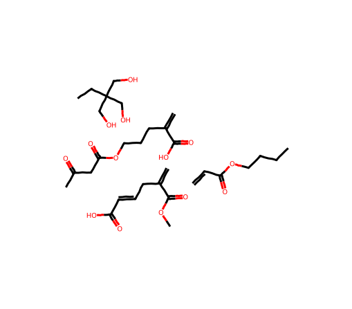 C=C(CC=CC(=O)O)C(=O)OC.C=C(CCCOC(=O)CC(C)=O)C(=O)O.C=CC(=O)OCCCC.CCC(CO)(CO)CO